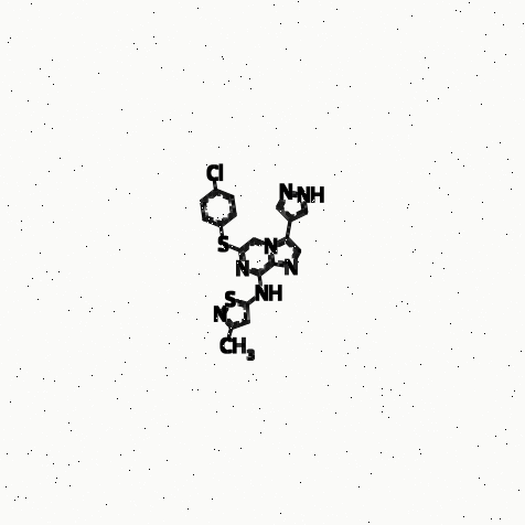 Cc1cc(Nc2nc(Sc3ccc(Cl)cc3)cn3c(-c4cn[nH]c4)cnc23)sn1